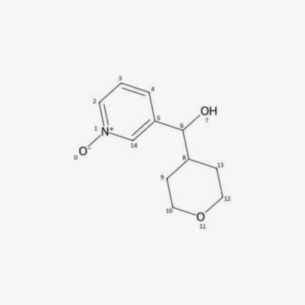 [O-][n+]1cccc(C(O)C2CCOCC2)c1